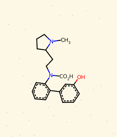 CN1CCCC1CCN(C(=O)O)c1ccccc1-c1cccc(O)c1